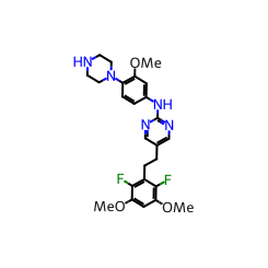 COc1cc(Nc2ncc(CCc3c(F)c(OC)cc(OC)c3F)cn2)ccc1N1CCNCC1